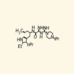 C=CCC(CC1=CNC(CC)C1CCC)NC(=O)C(=N)NC(=N)N1CCN(C(C)C)CC1